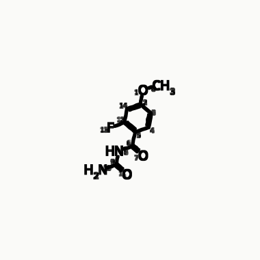 COc1ccc(C(=O)NC(N)=O)c(F)c1